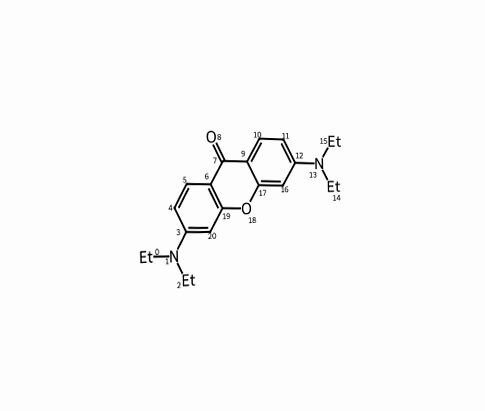 CCN(CC)c1ccc2c(=O)c3ccc(N(CC)CC)cc3oc2c1